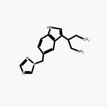 CCC(CN)c1c[nH]c2ccc(Cn3cncn3)cc12